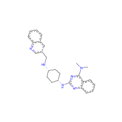 CN(C)c1nc(N[C@H]2CC[C@@H](NCc3cnc4ccccc4c3)CC2)nc2ccccc12